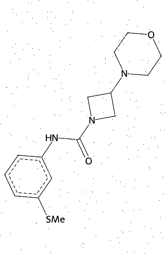 CSc1cccc(NC(=O)N2CC(N3CCOCC3)C2)c1